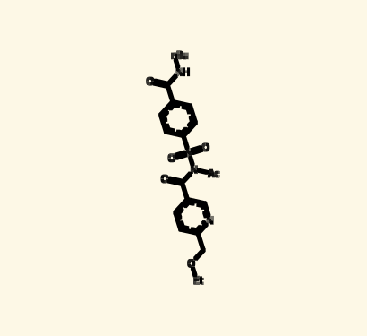 CCCCNC(=O)c1ccc(S(=O)(=O)N(C(C)=O)C(=O)c2ccc(COCC)nc2)cc1